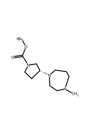 CN1CCCN([C@@H]2CCN(C(=O)OC(C)(C)C)C2)CC1